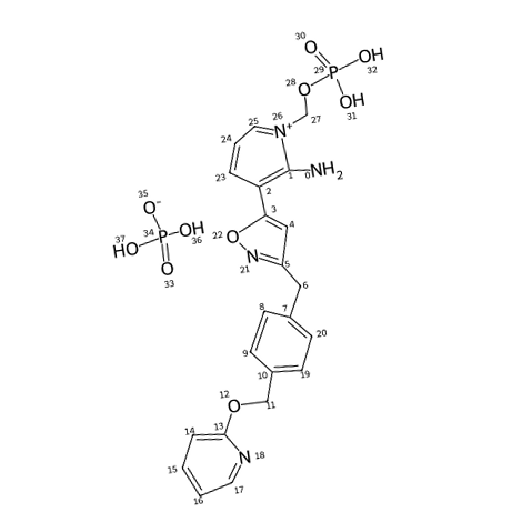 Nc1c(-c2cc(Cc3ccc(COc4ccccn4)cc3)no2)ccc[n+]1COP(=O)(O)O.O=P([O-])(O)O